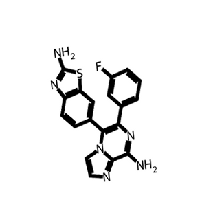 Nc1nc2ccc(-c3c(-c4cccc(F)c4)nc(N)c4nccn34)cc2s1